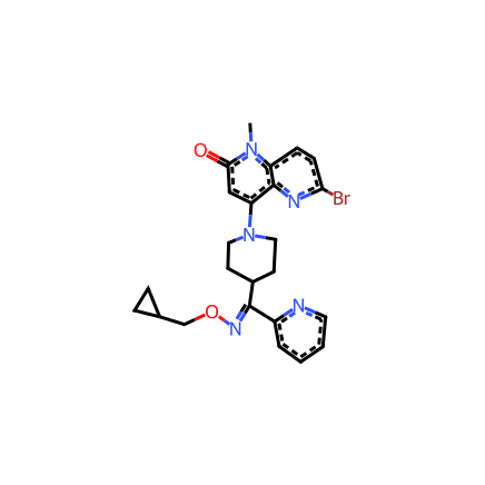 Cn1c(=O)cc(N2CCC(/C(=N\OCC3CC3)c3ccccn3)CC2)c2nc(Br)ccc21